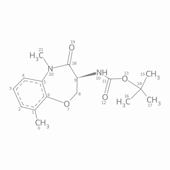 Cc1cccc2c1OC[C@H](NC(=O)OC(C)(C)C)C(=O)N2C